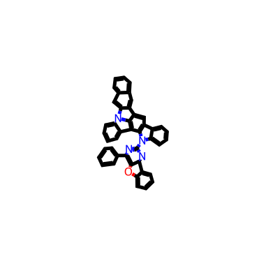 c1ccc(-c2nc(-n3c4ccccc4c4cc5c6cc7ccccc7cc6n6c7ccccc7c(c43)c56)nc3c2oc2ccccc23)cc1